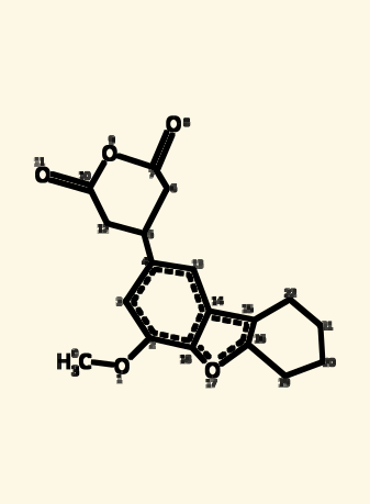 COc1cc(C2CC(=O)OC(=O)C2)cc2c3c(oc12)CCCC3